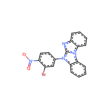 O=[N+]([O-])c1ccc(-n2c3ccccc3n3c4ccccc4nc23)cc1Br